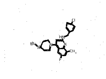 Cc1cc(F)cc2c(N3CCC(NC(C)(C)C)CC3)cc(NCc3ccc(Cl)cc3)nc12